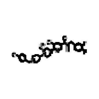 CC(C)C[C@H]1CN(c2ncc(C(=O)NCc3ccc(F)c(F)c3)cc2Cl)CCN1C1CCN(Cc2ccc(Cl)cc2)CC1